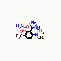 CN(C)c1ccc(C(F)(F)F)c(S(N)(=O)=O)c1-c1nnn[nH]1